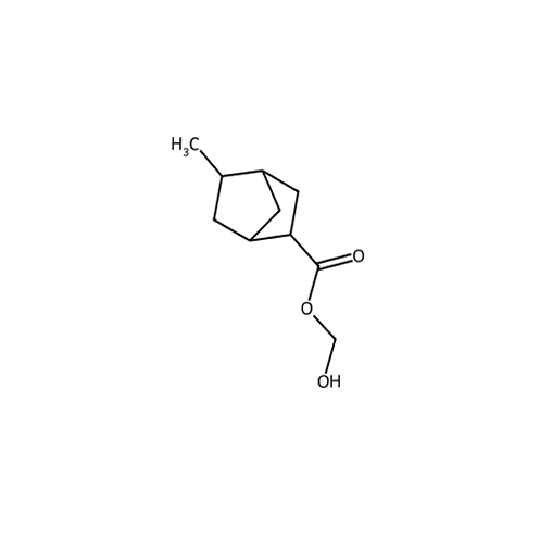 CC1CC2CC1CC2C(=O)OCO